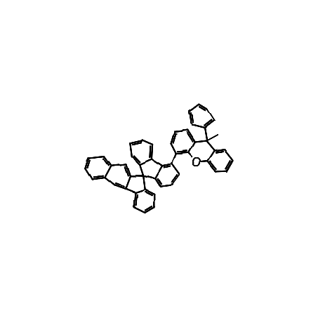 CC1(c2ccccc2)c2ccccc2Oc2c(-c3cccc4c3-c3ccccc3C43c4ccccc4-c4cc5ccccc5cc43)cccc21